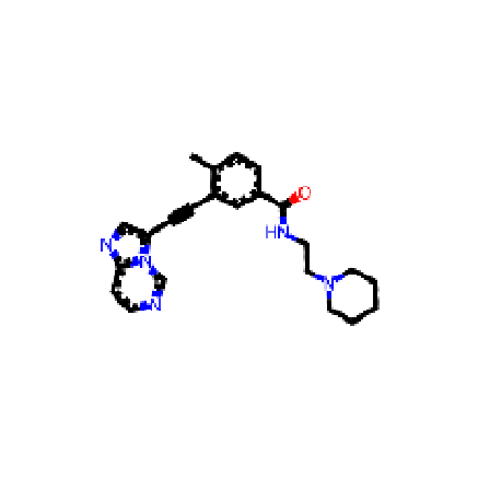 Cc1ccc(C(=O)NCCN2CCCCC2)cc1C#Cc1cnc2ccncn12